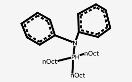 CCCCCCCC[PH](CCCCCCCC)(CCCCCCCC)N(c1ccccc1)c1ccccc1